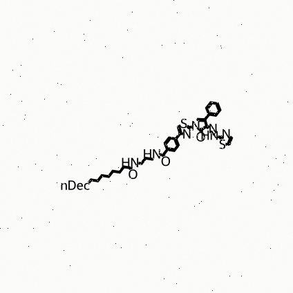 CCCCCCCCCCCCCCCCCC(=O)NCCCNC(=O)c1ccc(-c2csc(N3C=C(c4ccccc4)/C(=N/Nc4nccs4)C3=O)n2)cc1